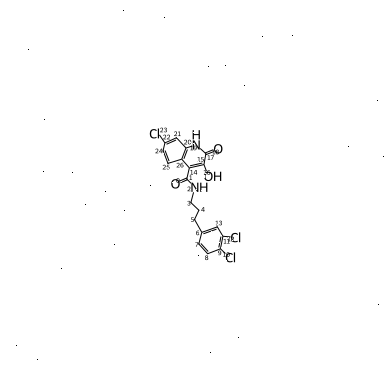 O=C(NCCCc1ccc(Cl)c(Cl)c1)c1c(O)c(=O)[nH]c2cc(Cl)ccc12